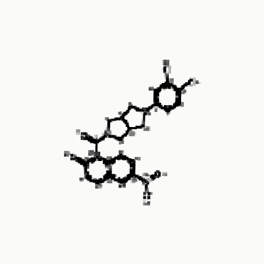 O=C(N1CC2CN(c3ccc(Cl)c(Cl)c3)CC2C1)n1c(=O)ccc2cc([N+](=O)[O-])ccc21